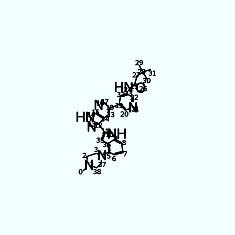 CN1CCN(c2cccc3[nH]c(-c4n[nH]c5ncc(-c6cncc(NC(=O)CC(C)(C)C)c6)cc45)cc23)CC1